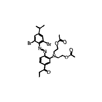 CCC(=O)c1ccc(N=Nc2c(Br)cc(C(C)C)cc2Br)c(N(CCOC(C)=O)CCOC(C)=O)c1